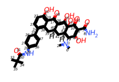 CN(C)[C@H]1C(O)=C(C(N)=O)C(=O)[C@@]2(O)C(O)=C3C(=O)c4c(O)ccc(-c5ccc(NC(=O)C(C)(C)C)cc5)c4C[C@@H]3C[C@H]12